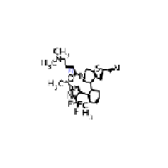 CCn1cc(-c2c(C)cccc2C2CN(C(=O)/C=C/CN(C)C)Cc3sc(C#N)cc32)c(C(F)(F)F)n1